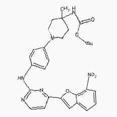 CC1(NC(=O)OC(C)(C)C)CCN(c2ccc(Nc3nccc(-c4cc5cccc([N+](=O)[O-])c5o4)n3)cc2)CC1